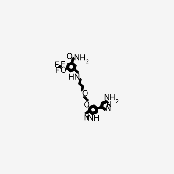 NC(=O)c1cc(CNCCCCOCCOc2cc(-c3cnnc(N)c3)cc3[nH]ncc23)cc(OC(F)(F)F)c1